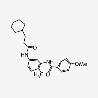 COc1ccc(C(=O)Nc2cc(NC(=O)CCC3CCCCC3)ccc2C)cc1